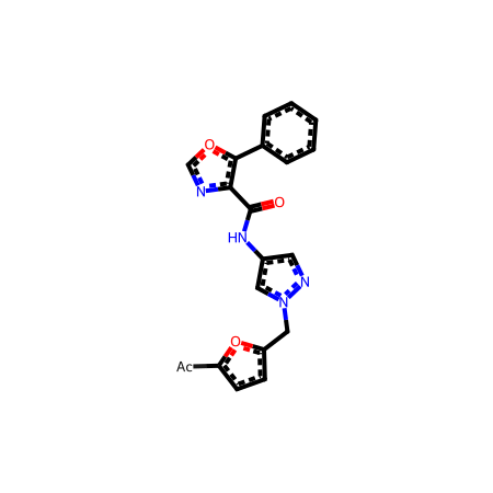 CC(=O)c1ccc(Cn2cc(NC(=O)c3ncoc3-c3ccccc3)cn2)o1